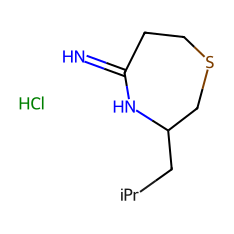 CC(C)CC1CSCCC(=N)N1.Cl